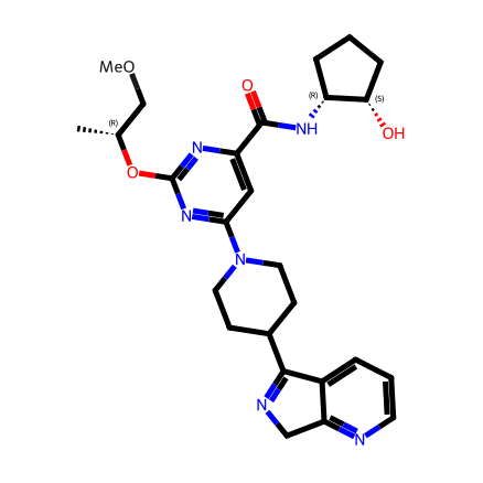 COC[C@@H](C)Oc1nc(C(=O)N[C@@H]2CCC[C@@H]2O)cc(N2CCC(C3=NCc4ncccc43)CC2)n1